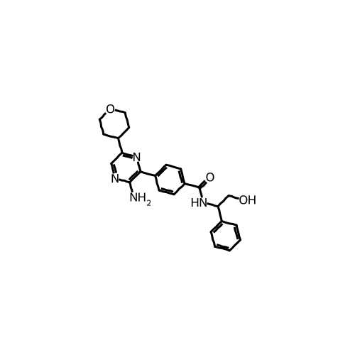 Nc1ncc(C2CCOCC2)nc1-c1ccc(C(=O)NC(CO)c2ccccc2)cc1